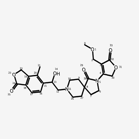 COCC1=C(N2CCC3(CCN(CC(O)c4ccc5c(c4C)COC5=O)CC3)C2=O)COC1=O